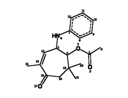 CC(=O)OC1C(Nc2ccccc2)C=C(C)C(=O)CC1(C)C